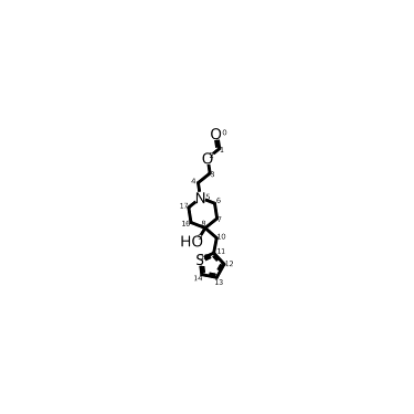 O=COCCN1CCC(O)(Cc2cccs2)CC1